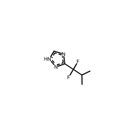 CC(C)C(F)(F)c1nc[nH]n1